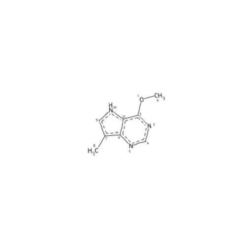 COc1ncnc2c(C)c[nH]c12